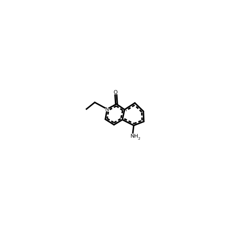 CCn1ccc2c(N)cccc2c1=O